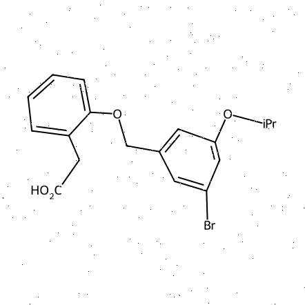 CC(C)Oc1cc(Br)cc(COc2ccccc2CC(=O)O)c1